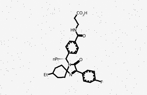 CCC[C@H](c1ccc(C(=O)NCCC(=O)O)cc1)N1C(=O)C(c2ccc(F)cc2)=NC12CCC(CC)CC2